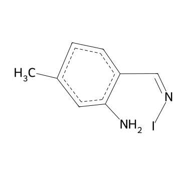 Cc1ccc(/C=N\I)c(N)c1